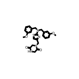 COc1cccc(CN(Cc2cccc(OC)c2)c2nc(CN3CC(=O)NCC3=O)cs2)c1